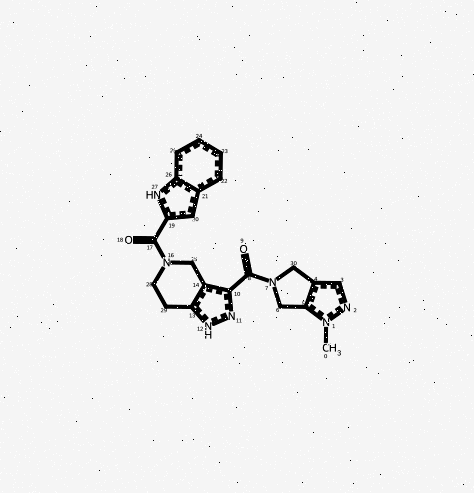 Cn1ncc2c1CN(C(=O)c1n[nH]c3c1CN(C(=O)c1cc4ccccc4[nH]1)CC3)C2